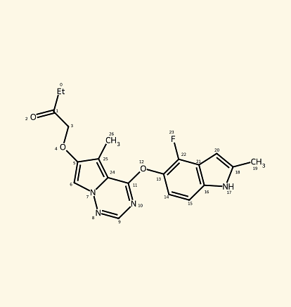 CCC(=O)COc1cn2ncnc(Oc3ccc4[nH]c(C)cc4c3F)c2c1C